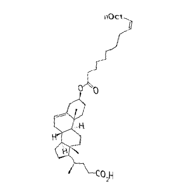 CCCCCCCC/C=C\CCCCCCCC(=O)O[C@H]1CC[C@@]2(C)C(=CC[C@H]3[C@@H]4CC[C@H]([C@H](C)CCC(=O)O)[C@@]4(C)CC[C@@H]32)C1